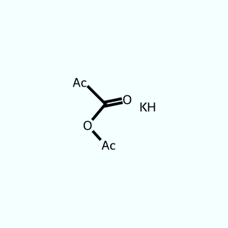 CC(=O)OC(=O)C(C)=O.[KH]